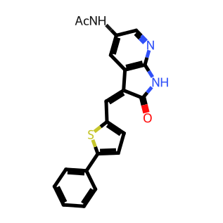 CC(=O)Nc1cnc2c(c1)C(=Cc1ccc(-c3ccccc3)s1)C(=O)N2